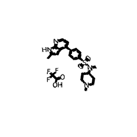 Cc1cc2c(-c3ccc(S(=O)(=O)N(C)C4CCN(C)CC4)cc3)ccnc2[nH]1.O=C(O)C(F)(F)F